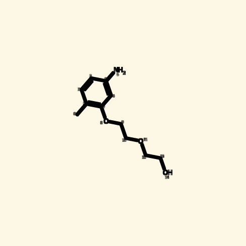 Cc1ccc(N)cc1OCCOCCO